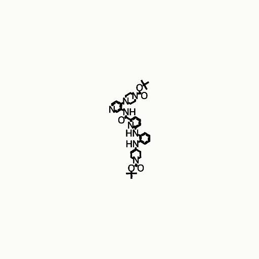 CC(C)(C)OC(=O)N1CC=C(Nc2ccccc2Nc2cccc(C(=O)Nc3cnccc3N3CCN(C(=O)OC(C)(C)C)CC3)n2)CC1